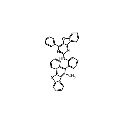 Cc1c(-c2ccccc2Nc2nc(-c3ccccc3)c3oc4ccccc4c3n2)c2ccccc2c2sc3ccccc3c12